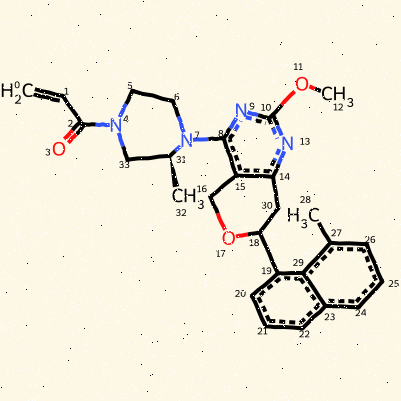 C=CC(=O)N1CCN(c2nc(OC)nc3c2COC(c2cccc4cccc(C)c24)C3)[C@@H](C)C1